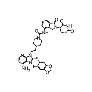 Nc1ncnc2c1nc(Sc1cc3c(cc1I)OCO3)n2CCC1CCN(C(=O)Nc2cccc3c2CN(C2CCC(=O)NC2=O)C3=O)CC1